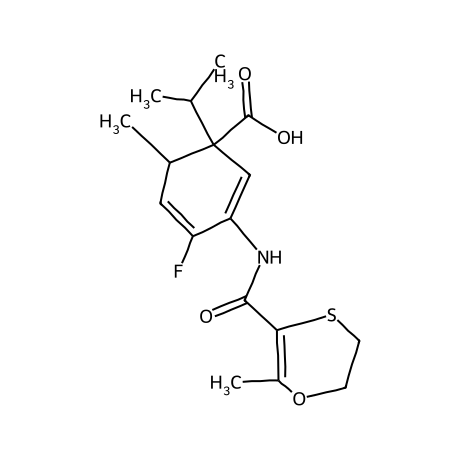 CC1=C(C(=O)NC2=CC(C(=O)O)(C(C)C)C(C)C=C2F)SCCO1